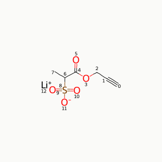 C#CCOC(=O)C(C)S(=O)(=O)[O-].[Li+]